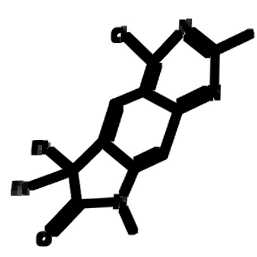 CCC1(CC)C(=O)N(C)c2cc3nc(C)nc(Cl)c3cc21